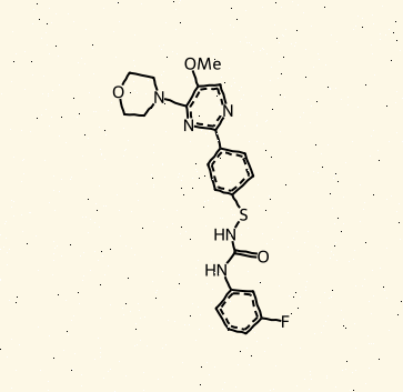 COc1cnc(-c2ccc(SNC(=O)Nc3cccc(F)c3)cc2)nc1N1CCOCC1